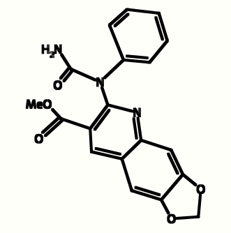 COC(=O)c1cc2cc3c(cc2nc1N(C(N)=O)c1ccccc1)OCO3